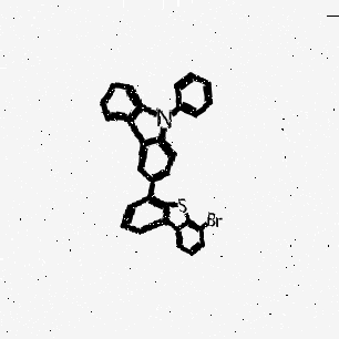 Brc1cccc2c1sc1c(-c3ccc4c(c3)c3ccccc3n4-c3ccccc3)cccc12